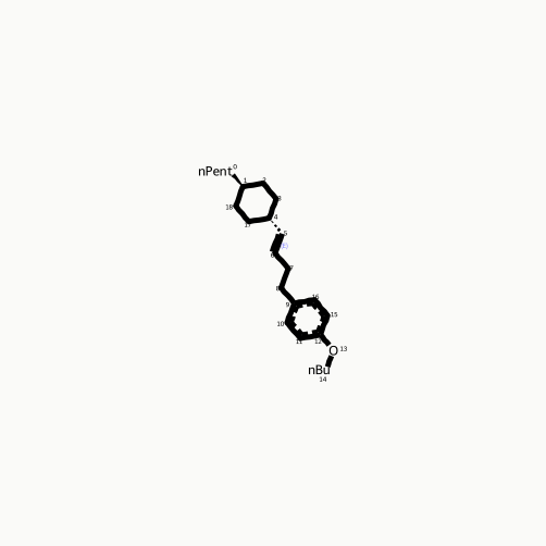 CCCCC[C@H]1CC[C@H](/C=C/CCc2ccc(OCCCC)cc2)CC1